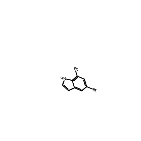 CCc1cc(Br)cc2cc[nH]c12